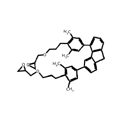 Cc1cc(-c2ccc3c(c2)-c2c(cccc2-c2cc(C)c(CCCOCC4CO4)c(C)c2)C3)cc(C)c1CCCOCC1CO1